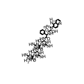 CCCN(c1ccc2ncccc2c1N)C(O)C(=O)NC(C(=O)NC(NC(=N)N)C(=O)NC(NC(=N)N)C(=O)NC(NC(=N)N)C(=O)NC(NC(=N)N)C(N)=O)c1ccccc1